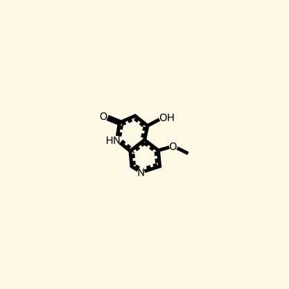 COc1cncc2[nH]c(=O)cc(O)c12